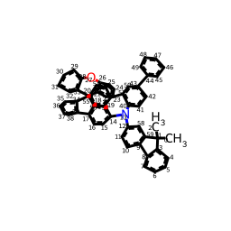 CC1(C)c2ccccc2-c2ccc(N(c3ccc4c(c3)C3(c5ccccc5Oc5ccccc53)c3ccccc3-4)c3ccc(-c4ccccc4)cc3-c3ccccc3)cc21